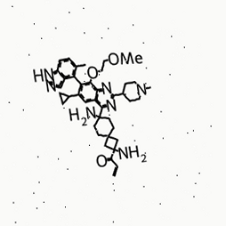 C=CC(=O)C1(N)CC2(CCC(N)(c3nc(C4CCN(C)CC4)nc4c(OCCOC)c(-c5c(C)ccc6[nH]ncc56)c(C5CC5)cc34)CC2)C1